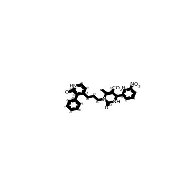 CC1=C(C(=O)O)C(c2cccc([N+](=O)[O-])c2)NC(=O)N1CCCc1cc[nH]c(=O)c1-c1ccccc1